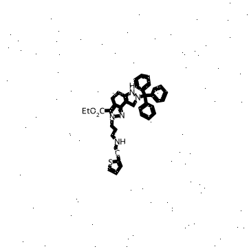 CCOC(=O)c1c2c(nn1CCCNCCc1cccs1)C1=C(CC2)NN(C(c2ccccc2)(c2ccccc2)c2ccccc2)C1